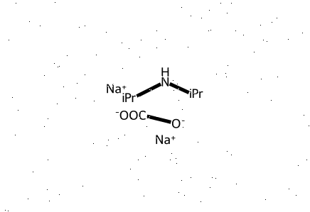 CC(C)NC(C)C.O=C([O-])[O-].[Na+].[Na+]